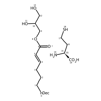 CCCCCCCCCCCCCC=CC(=O)OCC(O)CO.N[C@@H](CCS)C(=O)O